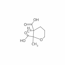 CC1(C(=O)O)CCCOC1(C)C(=O)O